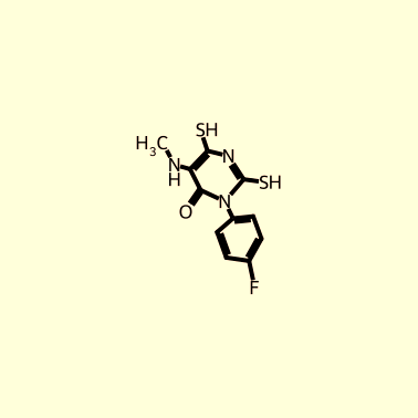 CNc1c(S)nc(S)n(-c2ccc(F)cc2)c1=O